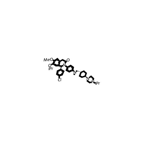 COc1cc2c(cc1OC(C)C)[C@H](c1ccc(Cl)cc1)N(c1ccc(N(C)C[C@H]3CC[C@H](N4CCN(C(C)C)CC4)CC3)cc1)C(=O)C2